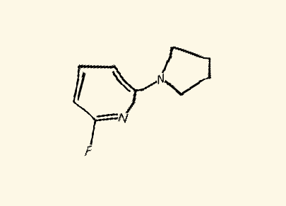 Fc1cccc(N2CCCC2)n1